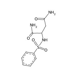 NC(=O)CC(NS(=O)(=O)c1ccccc1)C(N)=O